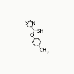 Cc1ccc(OC(S)c2cscn2)cc1